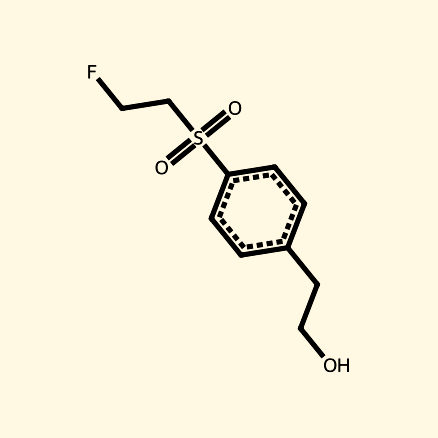 O=S(=O)(CCF)c1ccc(CCO)cc1